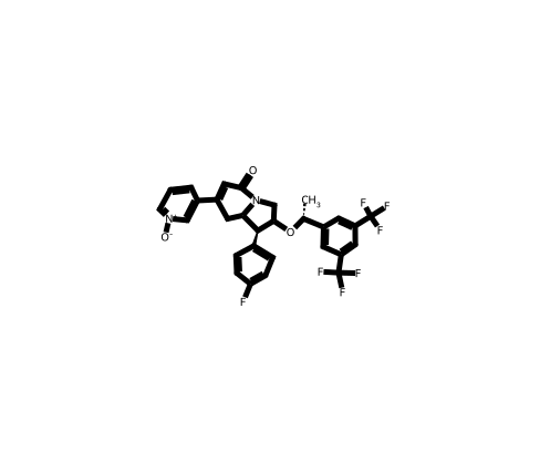 C[C@@H](OC1CN2C(=O)C=C(c3ccc[n+]([O-])c3)CC2[C@@H]1c1ccc(F)cc1)c1cc(C(F)(F)F)cc(C(F)(F)F)c1